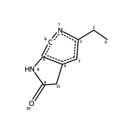 CCc1cc2c(cn1)NC(=O)C2